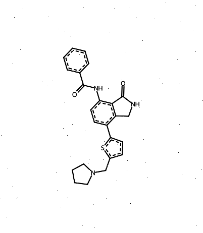 O=C(Nc1ccc(-c2ccc(CN3CCCC3)s2)c2c1C(=O)NC2)c1ccccc1